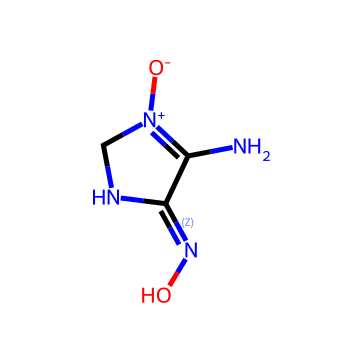 NC1=[N+]([O-])CN/C1=N\O